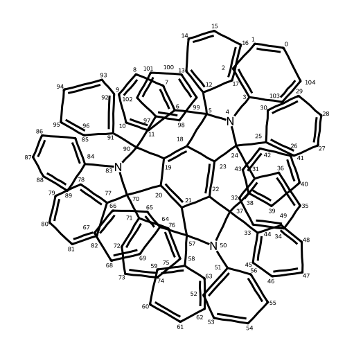 c1ccc(N2C(c3ccccc3)(c3ccccc3)c3c4c(c5c(c3C2(c2ccccc2)c2ccccc2)C(c2ccccc2)(c2ccccc2)N(c2ccccc2)C5(c2ccccc2)c2ccccc2)C(c2ccccc2)(c2ccccc2)N(c2ccccc2)C4(c2ccccc2)c2ccccc2)cc1